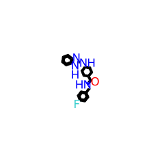 O=C(NCc1ccc(F)cc1)C1CCC(Nc2nc3ccccc3[nH]2)CC1